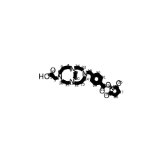 O=C(O)CN1CCCN2CCN(CCCN(Cc3ccc(C(=O)ON4C(=O)CCC4=O)cc3)CC2)CC1